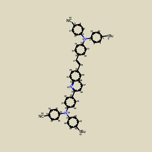 CC(C)(C)c1ccc(N(c2ccc(C#N)cc2)c2ccc(/C=C/c3ccc4nc(-c5ccc(N(c6ccc(C#N)cc6)c6ccc(C(C)(C)C)cc6)cc5)ccc4c3)cc2)cc1